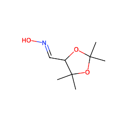 CC1(C)OC(C=NO)C(C)(C)O1